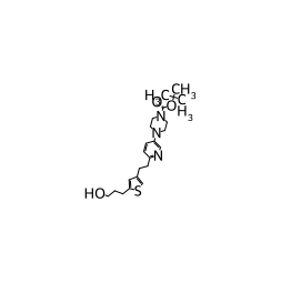 CC(C)(C)OC(=O)N1CCN(c2ccc(CCc3csc(CCCO)c3)nc2)CC1